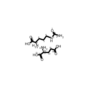 NC(=O)NCCC[C@H](N)C(=O)O.N[C@@H](CCC(=O)O)C(=O)O